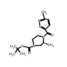 Cc1ccc(C(=O)N2CCN(C(=O)OC(C)(C)C)C[C@@H]2C)nn1